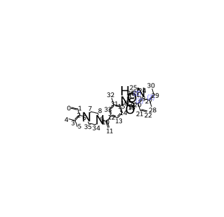 C=CC(=C(C)C)N1CCN(C(=C)c2ccc(NS(=O)(=O)/C(C=C)=C(\N=C/C)C(/C)=C\C)c(C)c2)CC1